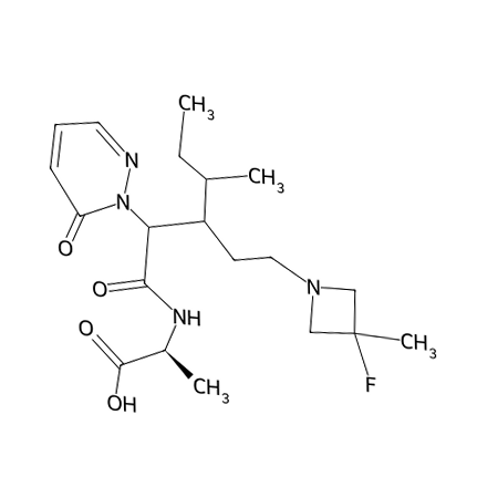 CCC(C)C(CCN1CC(C)(F)C1)C(C(=O)N[C@@H](C)C(=O)O)n1ncccc1=O